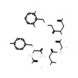 CC(=O)N[C@@H](Cc1ccc(O)cc1)C(=O)N[C@H](C(=O)N[C@@H](C)C(=O)NC(CC(=O)O)C(=O)COCc1c(Cl)cccc1Cl)C(C)C